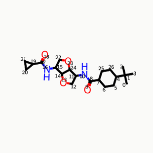 CC(C)(C)C1CCC(C(=O)NC2COC3C(NC(=O)C4CC4)COC23)CC1